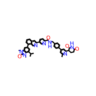 Cc1cc(-c2ccc(CNC(=O)c3ccc(-c4cc5cccc(-c6cc(C(C)C)c7c(c6)n(C)c(=O)n7C)c5cn4)cn3)cc2)cc(C2CCC(=O)NC2=O)n1